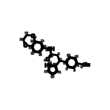 CC(C)(C)c1ccc(C(CC(=O)Nc2ccc3c(c2)OCCO3)c2ccc[nH]2)cc1